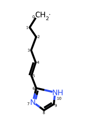 [CH2]CCCC=Cc1ncc[nH]1